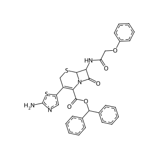 Nc1ncc(C2=C(C(=O)OC(c3ccccc3)c3ccccc3)N3C(=O)C(NC(=O)COc4ccccc4)C3SC2)s1